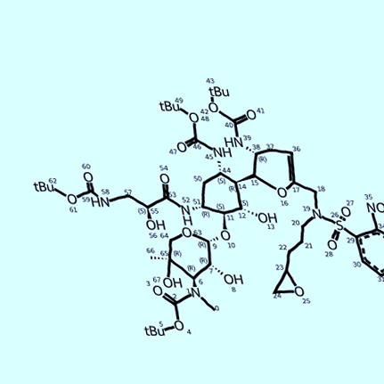 CN(C(=O)OC(C)(C)C)[C@@H]1[C@@H](O)[C@@H](O[C@@H]2[C@@H](O)[C@H](C3OC(CN(CCCC4CO4)S(=O)(=O)c4ccccc4[N+](=O)[O-])=CC[C@H]3NC(=O)OC(C)(C)C)[C@@H](NC(=O)OC(C)(C)C)C[C@H]2NC(=O)[C@@H](O)CNC(=O)OC(C)(C)C)OC[C@]1(C)O